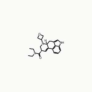 CCN(CC)C(=O)[C@@H]1C=C2c3cccc4[nH]cc(c34)C[C@H]2N(C2COC2)C1